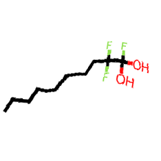 CCCCCCCCC(F)(F)C(O)(O)F